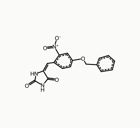 O=C1NC(=O)/C(=C\c2ccc(OCc3ccccc3)cc2[N+](=O)[O-])N1